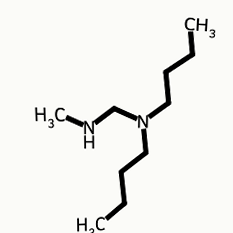 CCCCN(CCCC)CNC